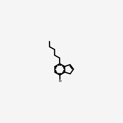 CCCCCc1ccc(Br)c2c1C=CC2